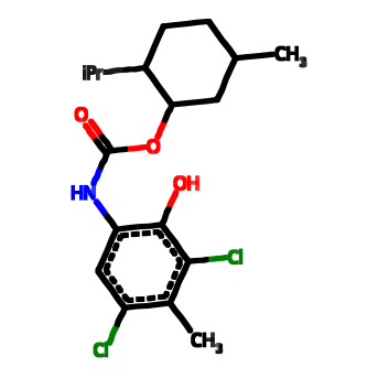 Cc1c(Cl)cc(NC(=O)OC2CC(C)CCC2C(C)C)c(O)c1Cl